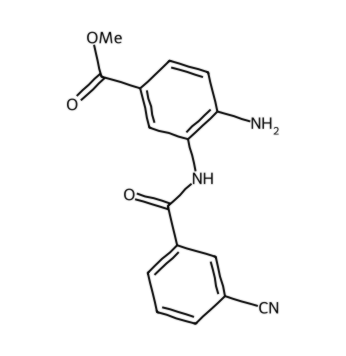 COC(=O)c1ccc(N)c(NC(=O)c2cccc(C#N)c2)c1